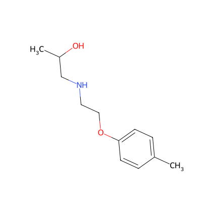 Cc1ccc(OCCNCC(C)O)cc1